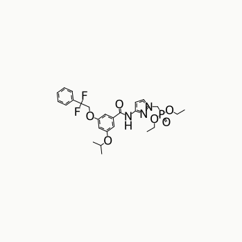 CCOP(=O)(Cn1ccc(NC(=O)c2cc(OCC(F)(F)c3ccccc3)cc(OC(C)C)c2)n1)OCC